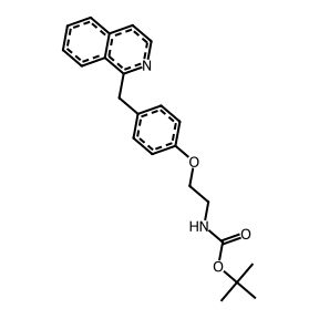 CC(C)(C)OC(=O)NCCOc1ccc(Cc2nccc3ccccc23)cc1